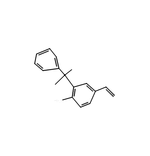 C=Cc1ccc(O)c(C(C)(C)c2ccccc2)c1